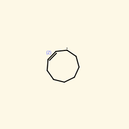 [CH]1/C=C\CCCCCC1